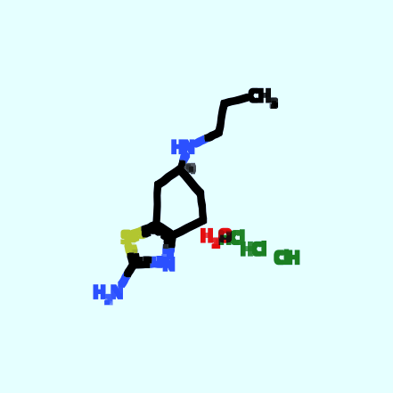 CCCN[C@H]1CCc2nc(N)sc2C1.Cl.Cl.Cl.O